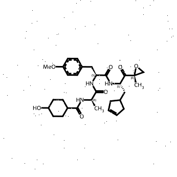 COc1ccc(C[C@H](NC(=O)[C@@H](C)NC(=O)C2CCC(O)CC2)C(=O)N[C@@H](CC2CC=CC2)C(=O)[C@@]2(C)CO2)cc1